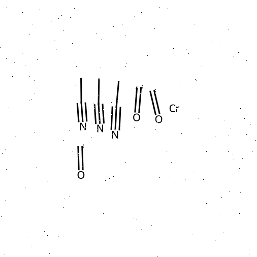 CC#N.CC#N.CC#N.[C]=O.[C]=O.[C]=O.[Cr]